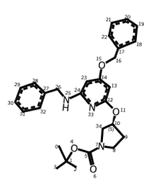 CC(C)(C)OC(=O)N1CC[C@H](Oc2cc(OCc3ccccc3)cc(NCc3ccccc3)n2)C1